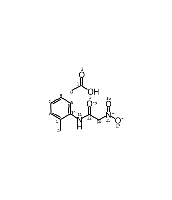 CC(=O)O.Cc1ccccc1NC(=O)C[N+](=O)[O-]